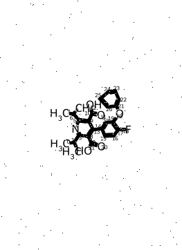 CC(C)c1nc(C(C)C)c(C(=O)O)c(-c2ccc(F)c(Oc3ccccc3)c2)c1C(=O)O